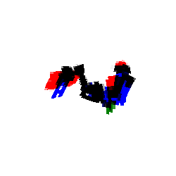 CN(CCCCCc1ccccc1Oc1cccc2c1C(=O)NC(=O)C2=O)CC1CCC(n2cc(NC(=O)c3cnn4ccc(N5CCOCC5)nc34)c(C(F)F)n2)CC1